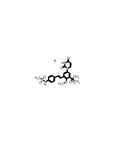 COc1c(C=Cc2ccc(NS(C)(=O)=O)cc2)cc(-n2ccc(=O)[nH]c2=O)cc1C(C)(C)C.[K]